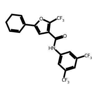 O=C(Nc1cc(C(F)(F)F)cc(C(F)(F)F)c1)c1cc(C2=CCCC=C2)oc1C(F)(F)F